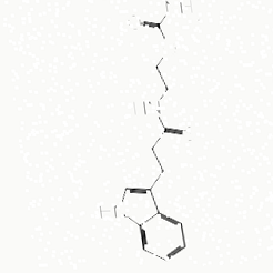 NC(=O)OCCNC(=S)CCc1c[nH]c2ccccc12